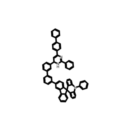 C1=C(c2ccc(-c3ccccc3)cc2)N=C(c2ccccc2)NC1c1cccc(-c2cccc(-c3ccc4c(c3)-c3ccccc3C43c4ccccc4N(c4ccccc4)c4ccccc43)c2)c1